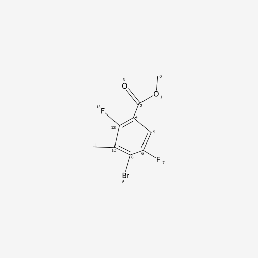 COC(=O)c1cc(F)c(Br)c(C)c1F